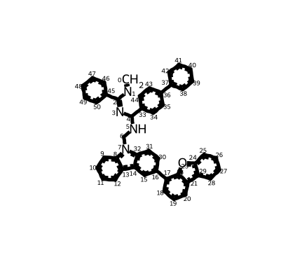 C=N/C(=N\C(NCn1c2ccccc2c2cc(-c3cccc4c3oc3ccccc34)ccc21)c1ccc(-c2ccccc2)cc1)c1ccccc1